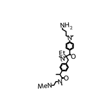 CCC(Cc1ccc(C(C)C(=O)N(C)CCNC)cc1)(C(=O)c1ccc(N(C)CCCN)cc1)N(C)C